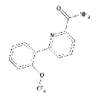 NC(=O)c1cccc(-c2ccccc2OC(F)(F)F)n1